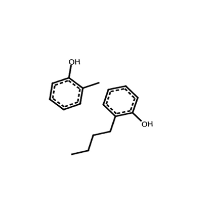 CCCCc1ccccc1O.Cc1ccccc1O